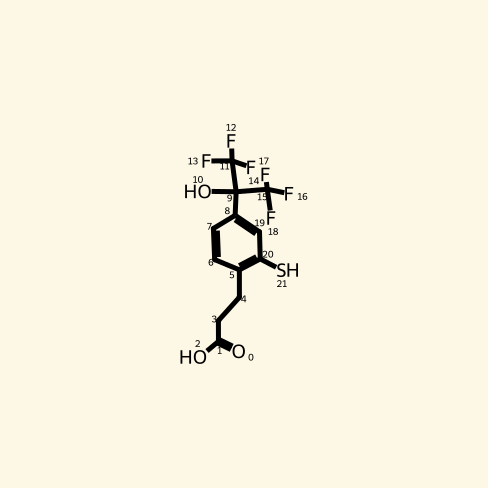 O=C(O)CCc1ccc(C(O)(C(F)(F)F)C(F)(F)F)cc1S